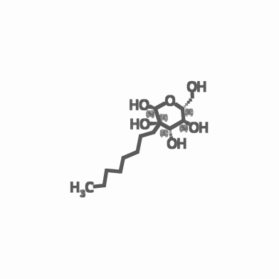 CCCCCCCC[C@]1(O)[C@@H](O)O[C@H](CO)[C@@H](O)[C@@H]1O